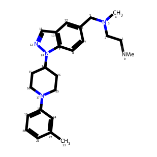 CNCCN(C)Cc1ccc2c(cnn2C2CCN(c3cccc(C)c3)CC2)c1